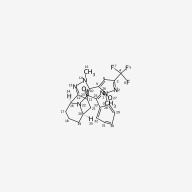 Cn1nc(C(F)(F)F)cc1-c1c2c(nn1C)[C@@H]1CCC[C@H](C2)N1C(=O)c1noc2ccccc12